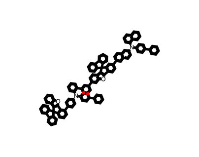 c1ccc(-c2ccc(N(c3ccc(-c4cccc5c4-c4oc6ccccc6c4C54c5ccccc5-c5ccccc54)cc3)c3ccccc3-c3cccc(-c4ccc5c6c(oc5c4)-c4ccc(-c5ccc7cc(N(c8ccc(-c9ccccc9)cc8)c8cccc9ccccc89)ccc7c5)cc4C64c5ccccc5-c5ccccc54)c3)cc2)cc1